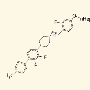 CCCCCCCOc1ccc(/C=C/C2CCC(c3ccc(-c4ccc(C)cc4)c(F)c3F)CC2)c(F)c1